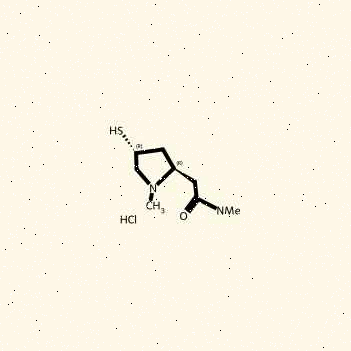 CNC(=O)C[C@@H]1C[C@@H](S)CN1C.Cl